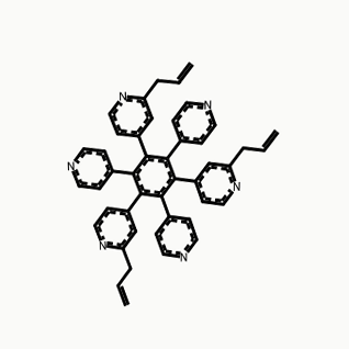 C=CCc1cc(-c2c(-c3ccncc3)c(-c3ccnc(CC=C)c3)c(-c3ccncc3)c(-c3ccnc(CC=C)c3)c2-c2ccncc2)ccn1